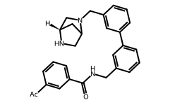 CC(=O)c1cccc(C(=O)NCc2cccc(-c3cccc(CN4C[C@@H]5CC4CN5)c3)c2)c1